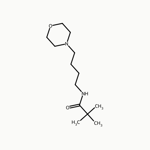 CC(C)(C)C(=O)NCCCCN1CCOCC1